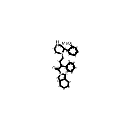 COc1ccccc1C1CNCCN1CCC(C(=O)N1CC2CCCCC2C1)c1ccccc1